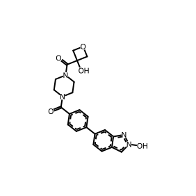 O=C(c1ccc(-c2ccc3cn(O)nc3c2)cc1)N1CCN(C(=O)C2(O)COC2)CC1